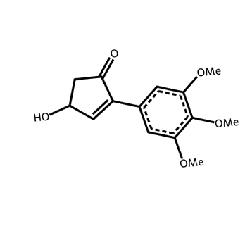 COc1cc(C2=CC(O)CC2=O)cc(OC)c1OC